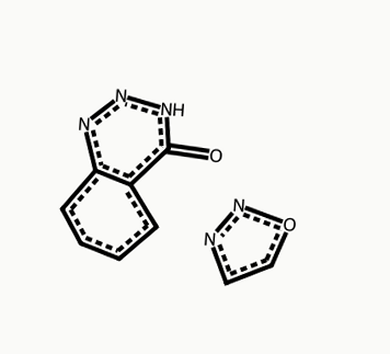 O=c1[nH]nnc2ccccc12.c1conn1